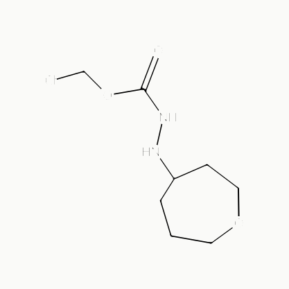 O=C(NNC1CCCOCC1)OCCl